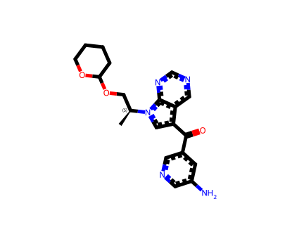 C[C@@H](COC1CCCCO1)n1cc(C(=O)c2cncc(N)c2)c2cncnc21